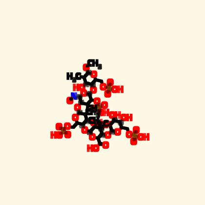 CO[C@H]1OC(COS(=O)(=O)O)[C@@H](O[C@@H]2O[C@@H](N=O)[C@@H](O[C@H]3OC(COS(=O)(=O)O)[C@@H](O[C@@H]4OC(C(=O)O)[C@@H](O[C@H]5OC(COS(=O)(=O)O)[C@@H](O)[C@H](O)C5C)[C@H](O)C4O)[C@H](C)C3C)C(C)C2OS(=O)(=O)O)[C@H](O)C1C